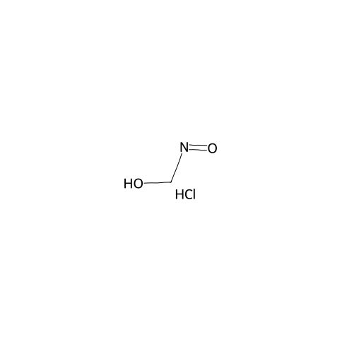 Cl.O=NCO